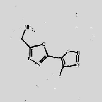 Cc1nnsc1-c1nnc(CN)o1